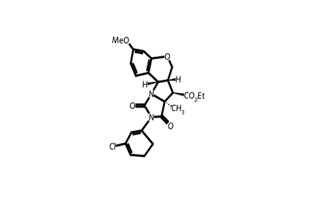 CCOC(=O)[C@@H]1[C@H]2COc3cc(OC)ccc3[C@H]2N2C(=O)N(C3=CC(Cl)=CCC3)C(=O)[C@]12C